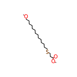 COCCCCCCCCCCCCCCSCCC(=O)OC